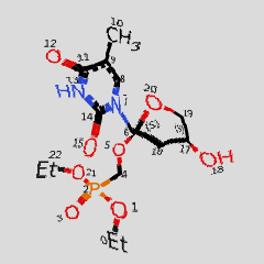 CCOP(=O)(CO[C@]1(n2cc(C)c(=O)[nH]c2=O)C[C@H](O)CO1)OCC